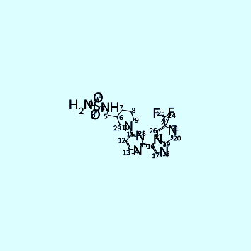 NS(=O)(=O)NCC1CCCN(c2ccnc(-c3cnc4cnc(C(F)F)cn34)n2)C1